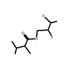 CC(C)C(C)C(=O)OCC(F)C(C)F